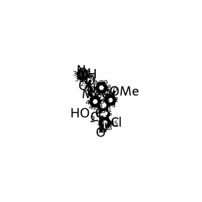 COc1ccc([C@@H](Cc2c(Cl)c[n+]([O-])cc2Cl)C(C(=O)O)c2ccc(CN(C(=O)O[C@H]3CN4CCC3CC4)c3ccccc3)cc2)cc1OC